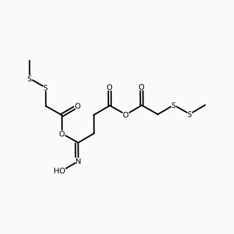 CSSCC(=O)OC(=O)CC/C(=N/O)OC(=O)CSSC